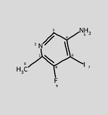 Cc1ncc(N)c(I)c1F